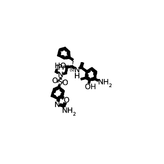 C=C(N[C@@H](Cc1ccccc1)[C@H](O)CN(CC(C)C)S(=O)(=O)c1ccc2nc(N)oc2c1)c1ccc(N)c(O)c1C